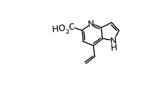 C=Cc1cc(C(=O)O)nc2cc[nH]c12